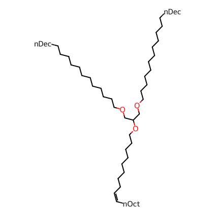 CCCCCCCC/C=C\CCCCCCCCOC(COCCCCCCCCCCCCCCCCCCCCCC)COCCCCCCCCCCCCCCCCCCCCCC